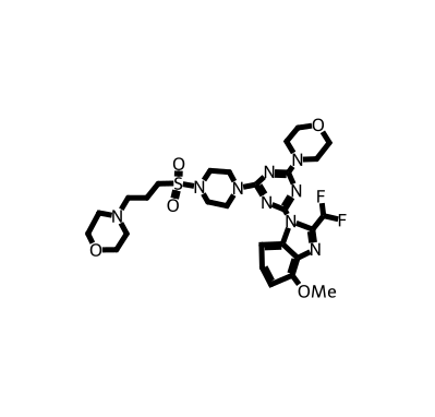 COc1cccc2c1nc(C(F)F)n2-c1nc(N2CCOCC2)nc(N2CCN(S(=O)(=O)CCCN3CCOCC3)CC2)n1